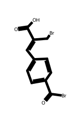 O=C(O)C(=Cc1ccc(C(=O)Br)cc1)CBr